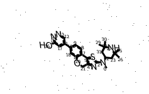 CN(c1nc2c(s1)-c1ccc(-c3cnnc(O)c3)cc1OC2)C1CC(C)(C)NC(C)(C)C1